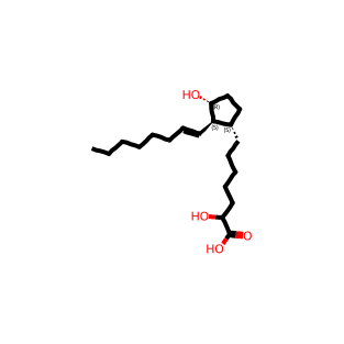 CCCCCCC=C[C@@H]1[C@@H](CCCCCC(O)C(=O)O)CC[C@H]1O